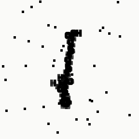 N[C@@H](CC(=O)OCc1ccccc1)C(=O)NCCOCCOCCOCCOCC(=O)O